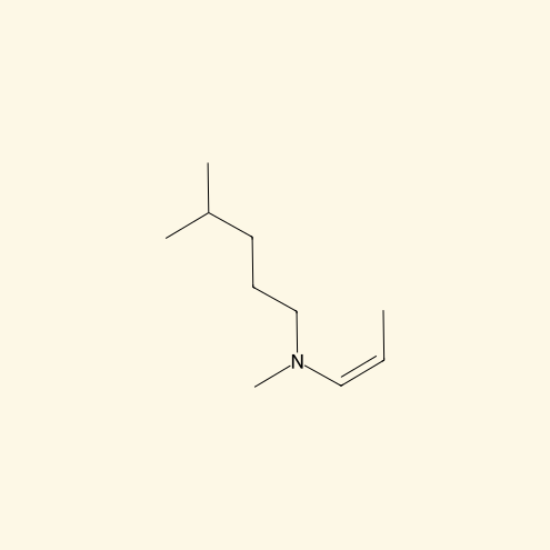 C/C=C\N(C)CCCC(C)C